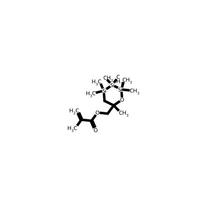 C=C(C)C(=O)OCC1(C)C[Si](C)(C)[Si](C)(C)[Si](C)(C)O1